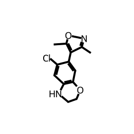 Cc1noc(C)c1-c1cc2c(cc1Cl)NCCO2